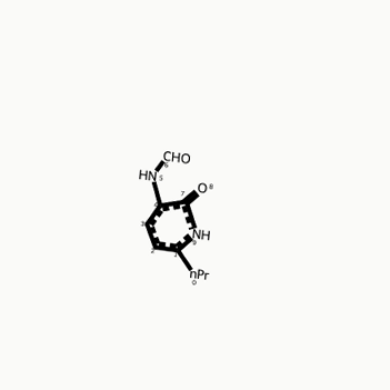 CCCc1ccc(NC=O)c(=O)[nH]1